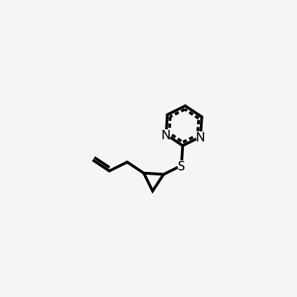 C=CCC1CC1Sc1ncccn1